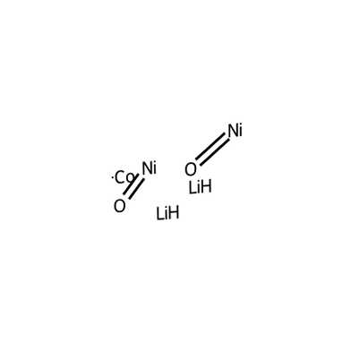 [Co].[LiH].[LiH].[O]=[Ni].[O]=[Ni]